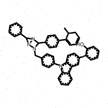 CC1CC=CC=C1c1ccc(C2N(Cc3ccc(-n4c5ccccc5c5cc(-c6ccccc6O)ccc54)cc3)N3C(c4ccccc4)N23)cc1